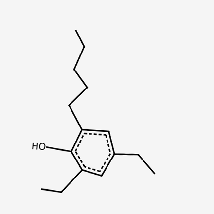 CCCCCc1cc(CC)cc(CC)c1O